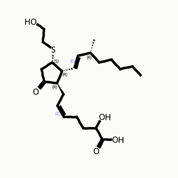 CCCCC[C@@H](C)/C=C/[C@H]1[C@@H](SCCO)CC(=O)[C@@H]1C/C=C\CCC(O)C(=O)O